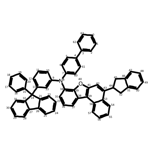 c1ccc(-c2ccc(N(c3cccc(C4(c5ccccc5)c5ccccc5-c5ccccc54)c3)c3cccc4c3oc3cc(C5Cc6ccccc6C5)c5ccccc5c34)cc2)cc1